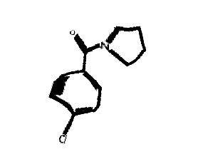 O=C(c1ccc(Cl)cc1)N1[CH]CCC1